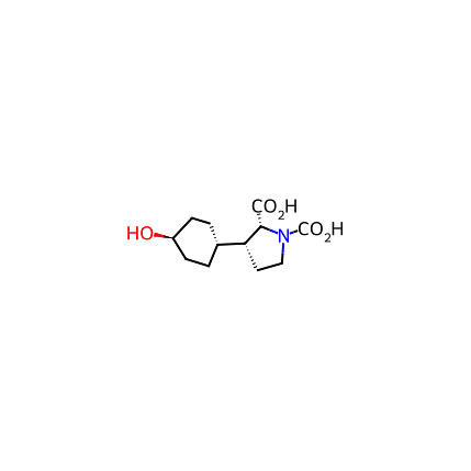 O=C(O)[C@H]1[C@@H]([C@H]2CC[C@H](O)CC2)CCN1C(=O)O